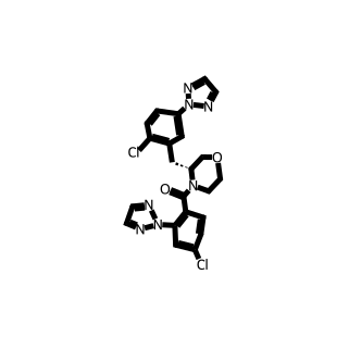 O=C(c1ccc(Cl)cc1-n1nccn1)N1CCOC[C@H]1Cc1cc(-n2nccn2)ccc1Cl